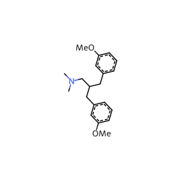 COc1cccc(CC(Cc2cccc(OC)c2)CN(C)C)c1